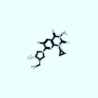 NC[C@@H]1CN(c2nc3c(cc2F)c(=O)n(N)c(=O)n3C2CC2)C[C@H]1C(F)(F)F